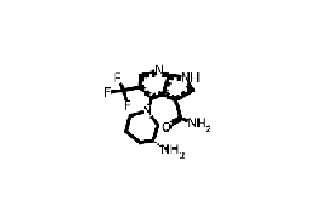 NC(=O)c1c[nH]c2ncc(C(F)(F)F)c(N3CCC[C@@H](N)C3)c12